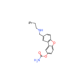 CC(C)CCNCc1ccc2oc3ccc(OC(N)=O)cc3c2c1